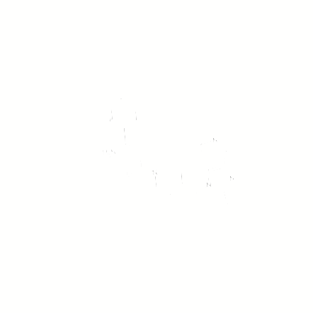 Cc1nc2cnccc2n1CC1CCN(C(=O)CC(N)c2ccccc2)CC1